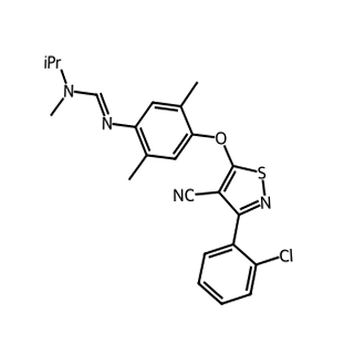 Cc1cc(Oc2snc(-c3ccccc3Cl)c2C#N)c(C)cc1N=CN(C)C(C)C